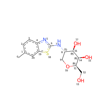 Cc1ccc2nc(N[C@H]3CO[C@H](CO)[C@H](O)[C@@H]3O)sc2c1